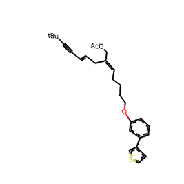 CC(=O)OCC(=CCCCCOc1cccc(-c2ccsc2)c1)CC=CC#CC(C)(C)C